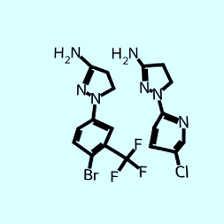 NC1=NN(c2ccc(Br)c(C(F)(F)F)c2)CC1.NC1=NN(c2ccc(Cl)cn2)CC1